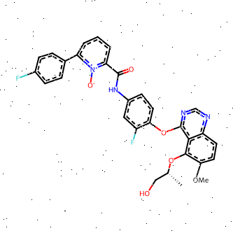 COc1ccc2ncnc(Oc3ccc(NC(=O)c4cccc(-c5ccc(F)cc5)[n+]4[O-])cc3F)c2c1O[C@H](C)CO